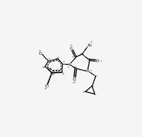 CC(=O)C1C(=O)N(CC2CC2)C(=O)N(c2cc(Cl)cc(Cl)c2)C1=O